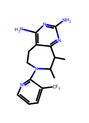 CC1c2nc(N)nc(N)c2CCN(c2ncccc2C(F)(F)F)C1C